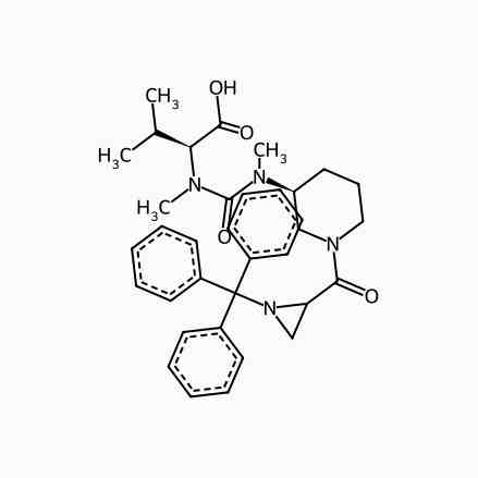 CC(C)[C@@H](C(=O)O)N(C)C(=O)N(C)[C@H]1CCCN(C(=O)C2CN2C(c2ccccc2)(c2ccccc2)c2ccccc2)C1